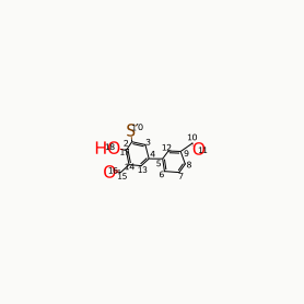 CSc1cc(-c2cccc(C=O)c2)cc(C=O)c1O